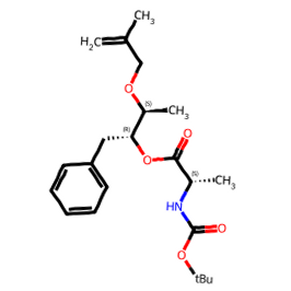 C=C(C)CO[C@@H](C)[C@@H](Cc1ccccc1)OC(=O)[C@H](C)NC(=O)OC(C)(C)C